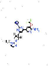 Cn1ccnc1N1C[C@@H]2C(c3cc(-c4cnc(N)c(OC(F)F)c4)nc(N4CC5CC4C5)n3)[C@@H]2C1